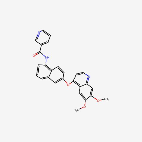 COc1cc2nccc(Oc3ccc4c(NC(=O)c5cccnc5)cccc4c3)c2cc1OC